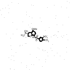 COc1ccc(NS(=O)(=O)c2ccc(C)c([N+](=O)[O-])c2)c2c1C[C@@H](N(C)C)CO2